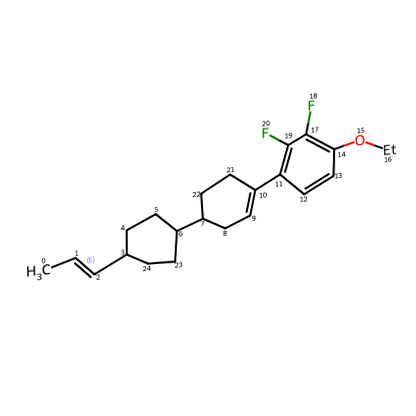 C/C=C/C1CCC(C2CC=C(c3ccc(OCC)c(F)c3F)CC2)CC1